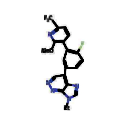 CCn1cnc2c(-c3ccc(F)c(-c4ccc(C(F)(F)F)nc4OC)c3)cnnc21